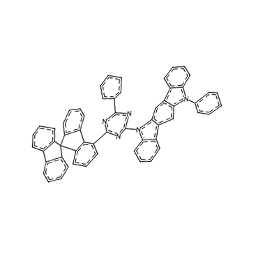 c1ccc(-c2nc(-c3cccc4c3-c3ccccc3C43c4ccccc4-c4ccccc43)nc(-n3c4ccccc4c4cc5c(cc43)c3ccccc3n5-c3ccccc3)n2)cc1